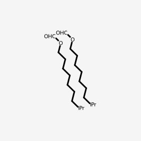 CC(C)CCCCCCCOC=O.CC(C)CCCCCCCOC=O